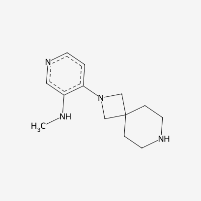 CNc1cnccc1N1CC2(CCNCC2)C1